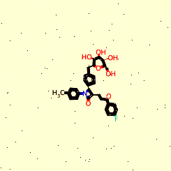 Cc1ccc(N2C(=O)[C@H](CCC(=O)c3ccc(F)cc3)[C@H]2c2ccc(C[C@@H]3O[C@H](CO)[C@@H](O)[C@H](O)[C@@H]3O)cc2)cc1